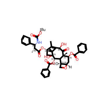 CC(=O)O[C@@]12CO[C@@H]1C[C@H](OC(=O)c1ccccc1)[C@@]1(C)C(=O)[C@H](O)C3=C(C)[C@@H](OC(=O)[C@H](C)[C@@H](NC(=O)OC(C)(C)C)c4ccccc4)C[C@@](O)([C@@H](OC(=O)c4ccccc4)C12)C3(C)C